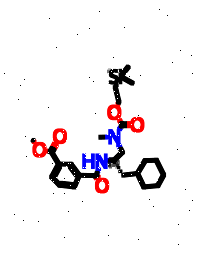 COC(=O)c1cccc(C(=O)N[C@@H](CC2CCCCC2)CN(C)C(=O)OCC[Si](C)(C)C)c1